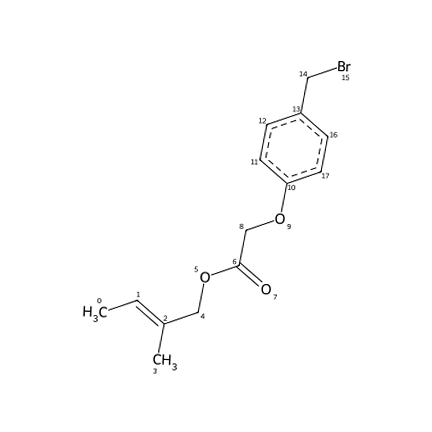 CC=C(C)COC(=O)COc1ccc(CBr)cc1